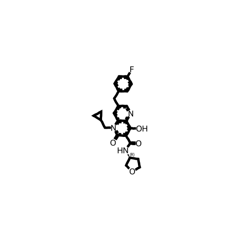 O=C(N[C@@H]1CCOC1)c1c(O)c2ncc(Cc3ccc(F)cc3)cc2n(CC2CC2)c1=O